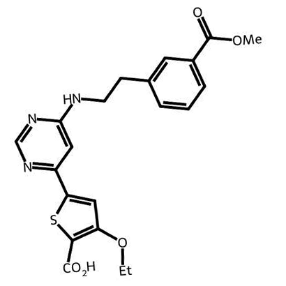 CCOc1cc(-c2cc(NCCc3cccc(C(=O)OC)c3)ncn2)sc1C(=O)O